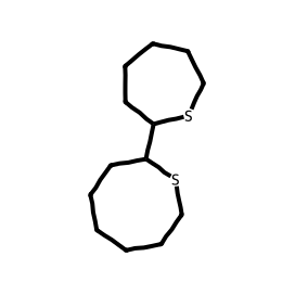 C1CCCC(C2CCCCCS2)SCC1